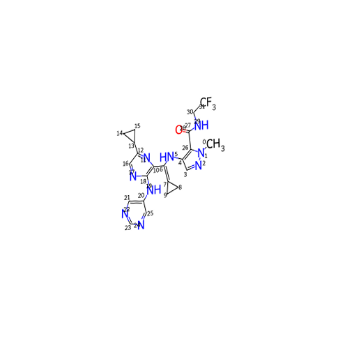 Cn1ncc(NC(=C2CC2)c2nc(C3CC3)cnc2Nc2cncnc2)c1C(=O)NCC(F)(F)F